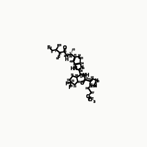 C[C@@H](NC(=O)C(F)C(F)CF)c1ccc2nc([C@@H](NC(=O)c3cnnn3CCOC(F)(F)F)C3CCC(F)(F)CC3)[nH]c2c1